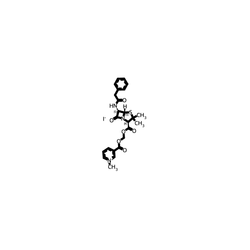 C[n+]1cccc(C(=O)OCOC(=O)[C@H]2N3C(=O)[C@H](NC(=O)Cc4ccccc4)[C@@H]3SC2(C)C)c1.[I-]